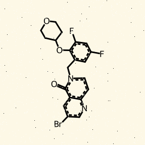 O=c1c2cc(Br)cnc2ccn1Cc1cc(F)cc(F)c1OC1CCOCC1